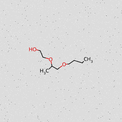 CCCCOCC(C)OCCO